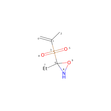 C=C(C)S(=O)(=O)C1(CC)NO1